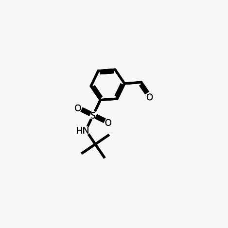 CC(C)(C)NS(=O)(=O)c1cccc(C=O)c1